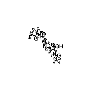 CC(C)(C)OC(=O)N1CC=C(c2ccc(OCc3cc(-c4c(F)ccc(F)c4Cl)no3)nc2)C(C(=O)O)C1